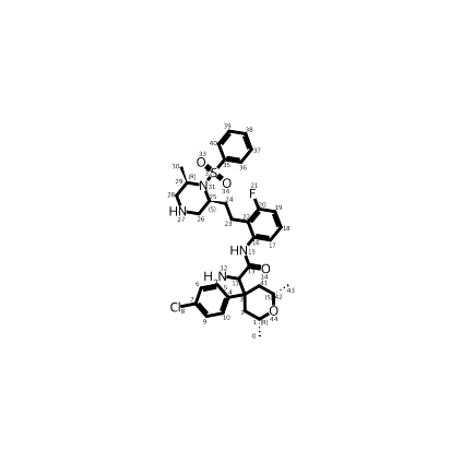 C[C@@H]1CC(c2ccc(Cl)cc2)(C(N)C(=O)Nc2cccc(F)c2CC[C@H]2CNC[C@@H](C)N2S(=O)(=O)c2ccccc2)C[C@H](C)O1